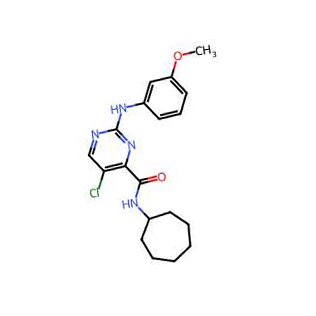 COc1cccc(Nc2ncc(Cl)c(C(=O)NC3CCCCCC3)n2)c1